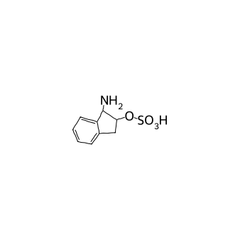 NC1c2ccccc2CC1OS(=O)(=O)O